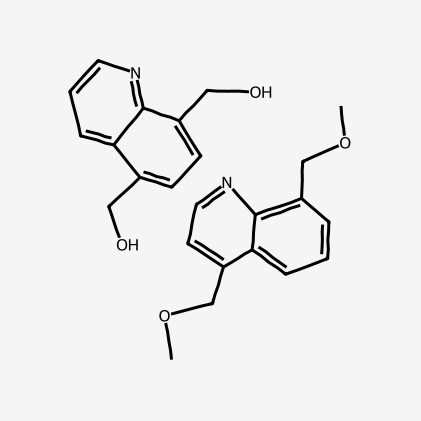 COCc1ccnc2c(COC)cccc12.OCc1ccc(CO)c2ncccc12